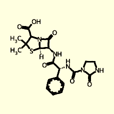 CC1(C)S[C@@H]2[C@H](NC(=O)[C@H](NC(=O)N3CCNC3=O)c3ccccc3)C(=O)N2C1C(=O)O